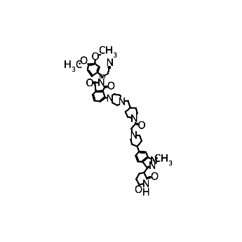 CCOc1cc([C@@H](CC#N)N2C(=O)c3cccc(N4CCN(CC5CCN(C(=O)CN6CCC(c7ccc8c(C9CCC(=O)NC9=O)nn(C)c8c7)CC6)CC5)CC4)c3C2=O)ccc1OC